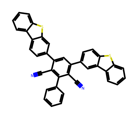 N#Cc1c(-c2ccc3c(c2)sc2ccccc23)cc(-c2ccc3sc4ccccc4c3c2)c(C#N)c1-c1ccccc1